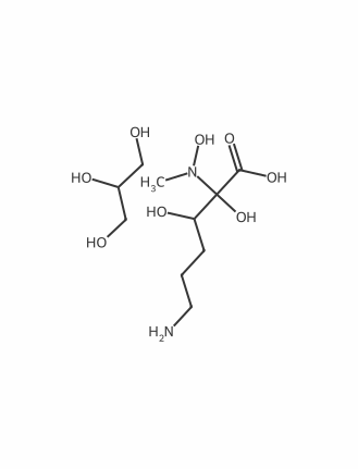 CN(O)C(O)(C(=O)O)C(O)CCCN.OCC(O)CO